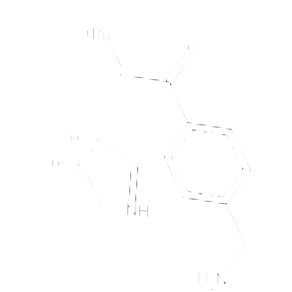 CC(C)(C)OC(=O)c1ccc(CN)cc1.CCOC(=O)C=N.CCOC(C)=O